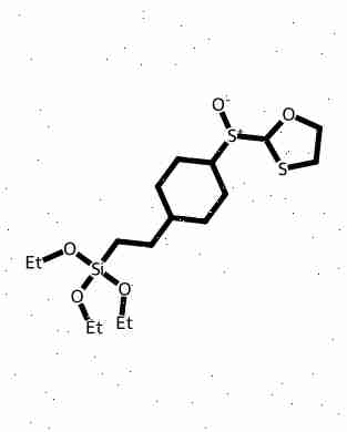 CCO[Si](CCC1CCC([S+]([O-])C2OCCS2)CC1)(OCC)OCC